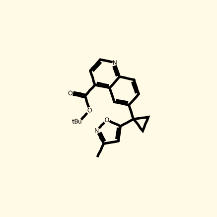 Cc1cc(C2(c3ccc4nccc(C(=O)OC(C)(C)C)c4c3)CC2)on1